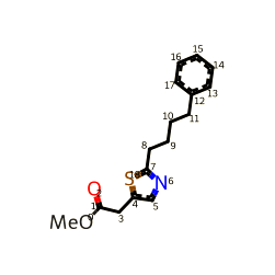 COC(=O)Cc1cnc(CCCCc2ccccc2)s1